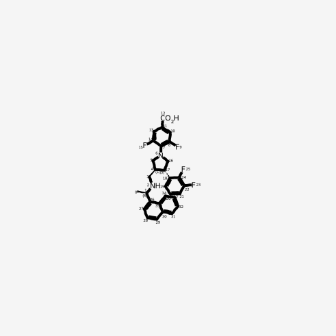 C[C@@H](NC[C@H]1CN(c2c(F)cc(C(=O)O)cc2F)C[C@@H]1c1cccc(F)c1F)c1cccc2ccccc12